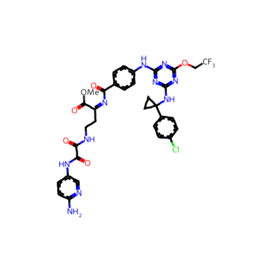 COC(=O)/C(CCNC(=O)C(=O)Nc1ccc(N)nc1)=N\C(=O)c1ccc(Nc2nc(NC3(c4ccc(Cl)cc4)CC3)nc(OCC(F)(F)F)n2)cc1